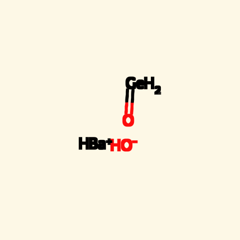 [BaH+].[OH-].[O]=[GeH2]